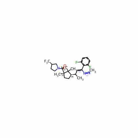 C/N=N\C(=C/C(C)[C@H]1CC[C@](C)(C(=O)N2CCC(C(F)(F)F)C2)C1(C)C)c1c(F)cccc1F